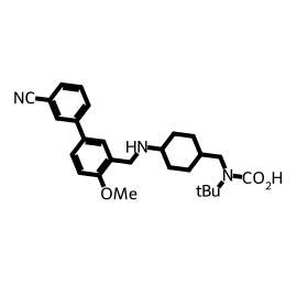 COc1ccc(-c2cccc(C#N)c2)cc1CNC1CCC(CN(C(=O)O)C(C)(C)C)CC1